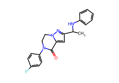 CC(Nc1ccccc1)c1cc2n(n1)CCN(c1ccc(F)cc1)C2=O